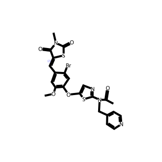 COc1cc(/C=C2\SC(=O)N(C)C2=O)c(Br)cc1Oc1cnc(N(Cc2ccncc2)C(C)=O)s1